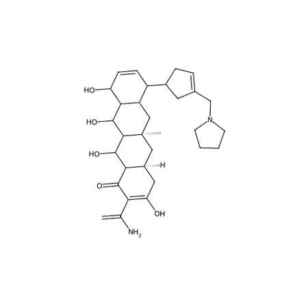 C=C(N)C1=C(O)C[C@@H]2C[C@]3(C)CC4C(C5CC=C(CN6CCCC6)C5)C=CC(O)C4C(O)C3C(O)C2C1=O